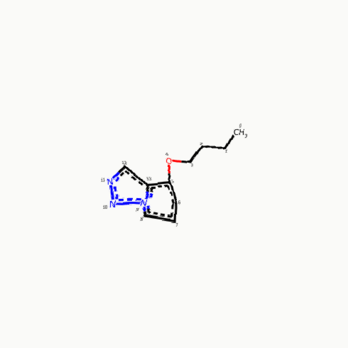 CCCCOc1cccn2nncc12